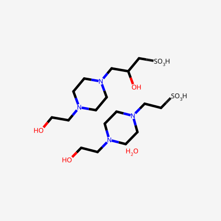 O.O=S(=O)(O)CC(O)CN1CCN(CCO)CC1.O=S(=O)(O)CCN1CCN(CCO)CC1